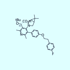 Cc1nc(C)c([C@H](OC(C)(C)C)C(=O)O)c(N2CC3C(C2)C3(C)C)c1-c1ccc(OCCc2ccc(F)cc2)cc1